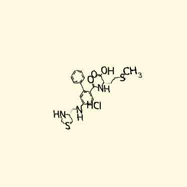 CSCC[C@H](NC(=O)c1ccc(NC[C@@H]2CSCN2)cc1-c1ccccc1)C(=O)O.Cl